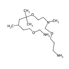 CC(CCOCN)CC(C)(C)OCCN(C)COCCCN